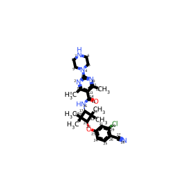 Cc1nc(N2CCNCC2)nc(C)c1C(=O)N[C@H]1C(C)(C)[C@H](Oc2ccc(C#N)c(Cl)c2)C1(C)C